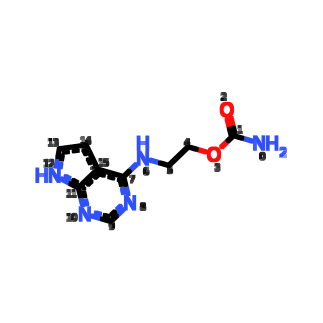 NC(=O)OCCNc1ncnc2[nH]ccc12